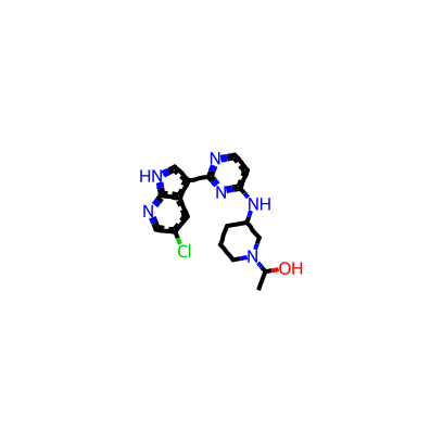 CC(O)N1CCCC(Nc2ccnc(-c3c[nH]c4ncc(Cl)cc34)n2)C1